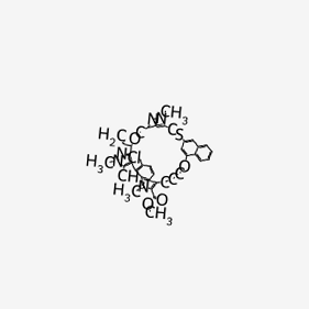 C=CC1OCc2cc(n(C)n2)CSc2cc(c3ccccc3c2)OCCCc2c(C(=O)OC)n(C)c3c(c(Cl)ccc23)-c2c1nn(C)c2C